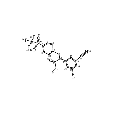 CCC(=O)N(Cc1ccc(S(=O)(=O)C(F)(F)F)cc1)c1cc(F)cc(C#N)c1